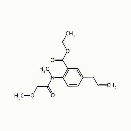 C=CCc1ccc(N(C)C(=O)COC)c(C(=O)OCC)c1